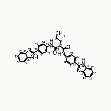 CCCC(C(=O)Nc1ccc(-c2nc3ccccc3[nH]2)cc1)C(=O)Nc1ccc(-c2nc3ccccc3[nH]2)cc1